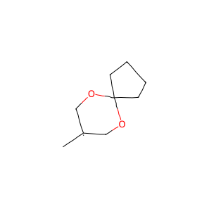 C[C]1COC2(CCCC2)OC1